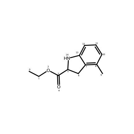 CCOC(=O)C1Cc2c(C)cccc2N1